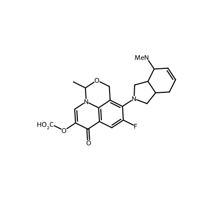 CNC1C=CCC2CN(c3c(F)cc4c(=O)c(OC(=O)O)cn5c4c3COC5C)CC21